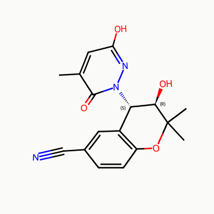 Cc1cc(O)nn([C@H]2c3cc(C#N)ccc3OC(C)(C)[C@@H]2O)c1=O